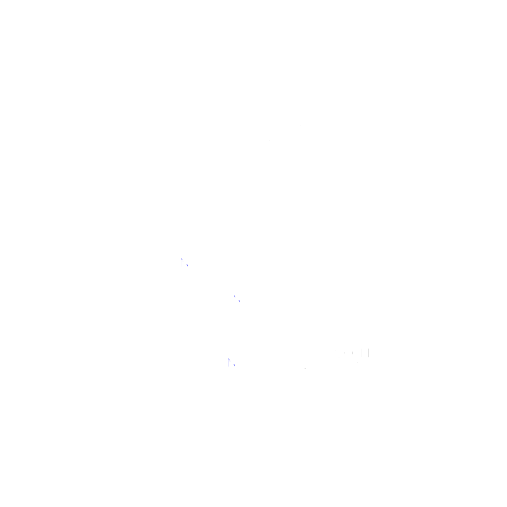 CC(C)(Sc1nccc(Nc2ccc(C3CC3)c3ccccc23)n1)C(=O)O